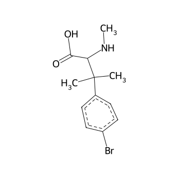 CNC(C(=O)O)C(C)(C)c1ccc(Br)cc1